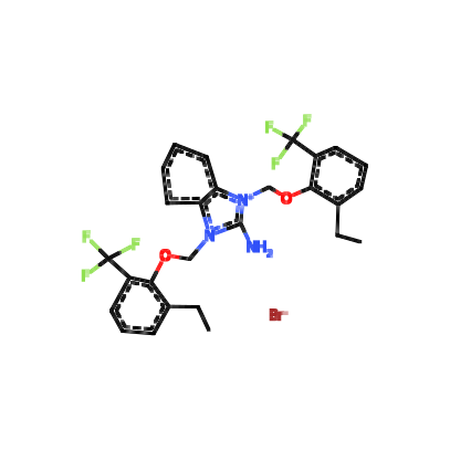 CCc1cccc(C(F)(F)F)c1OCn1c(N)[n+](COc2c(CC)cccc2C(F)(F)F)c2ccccc21.[Br-]